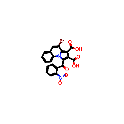 O=C(O)c1c(C(=O)O)c2c(Br)cc3ccccc3n2c1C(=O)c1ccccc1[N+](=O)[O-]